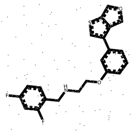 Fc1ccc(CNCCOc2cccc(-c3csc4cocc34)c2)c(F)c1